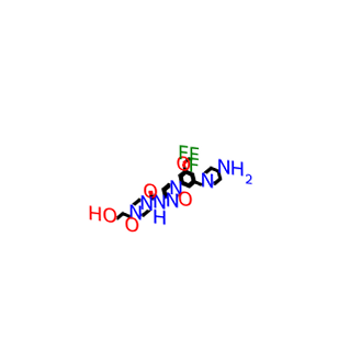 NC1CCN(Cc2cc(OC(F)(F)F)cc(-n3ccc(NC(=O)N4CCN(C(=O)CCO)CC4)nc3=O)c2)CC1